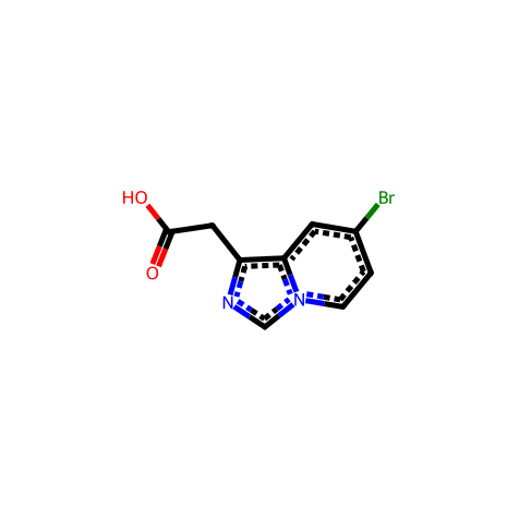 O=C(O)Cc1ncn2ccc(Br)cc12